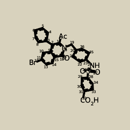 CC(=O)c1c(-c2ccccc2)c2cc(Br)ccc2c(=O)n1Cc1ccc(NS(=O)(=O)c2ccc(C(=O)O)cc2)cc1